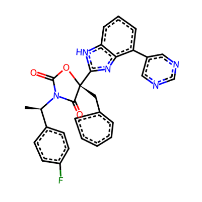 C[C@H](c1ccc(F)cc1)N1C(=O)O[C@](Cc2ccccc2)(c2nc3c(-c4cncnc4)cccc3[nH]2)C1=O